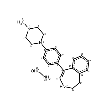 CN1CCN(c2ccc(C3=NNCCc4ccccc43)cc2)CC1.NC=O